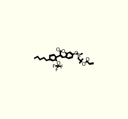 C=CC(=O)OC(C)(C)CB(C)Oc1ccc2cc(-c3ccc(CCCCC)cc3OC(F)(F)F)c(=O)oc2c1